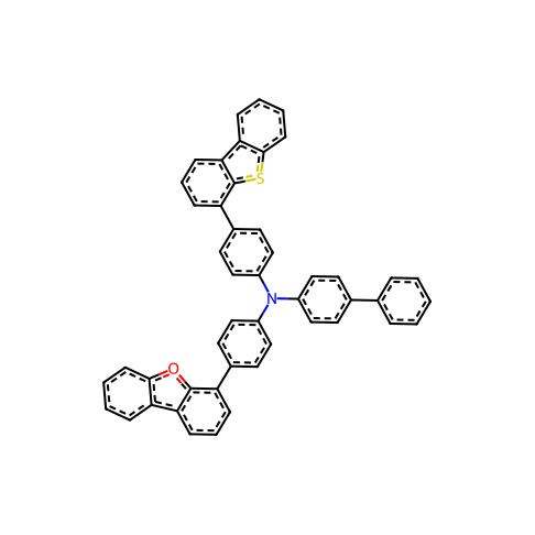 c1ccc(-c2ccc(N(c3ccc(-c4cccc5c4oc4ccccc45)cc3)c3ccc(-c4cccc5c4sc4ccccc45)cc3)cc2)cc1